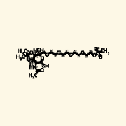 CC(=O)N[C@@H]1[C@H]2OC(C)(C)O[C@H]2[C@@](C)(COCCOCCOCCOCCOS(C)(=O)=O)O[C@@H]1O